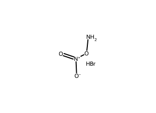 Br.NO[N+](=O)[O-]